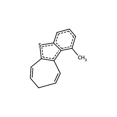 Cc1cccc2sc3c(c12)C=CCC=C3